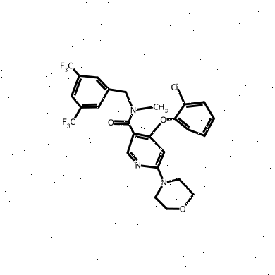 CN(Cc1cc(C(F)(F)F)cc(C(F)(F)F)c1)C(=O)c1cnc(N2CCOCC2)cc1Oc1ccccc1Cl